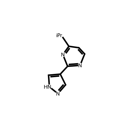 CC(C)c1ccnc(-c2cn[nH]c2)n1